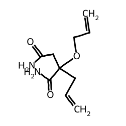 C=CCOC(CC=C)(CC(N)=O)C(N)=O